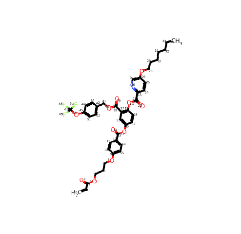 C=CC(=O)OCCCOc1ccc(C(=O)Oc2ccc(OC(=O)c3ccc(OCCCCCCC)cn3)c(C(=O)OCc3ccc(OC(F)(F)F)cc3)c2)cc1